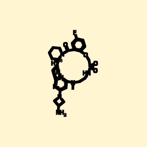 CN1CCNS(=O)(=O)COc2ccc(F)cc2C(=O)N2CCCC[C@H]2c2cc3nc(N4CC(N)C4)cc1n3n2